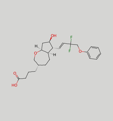 O=C(O)CCC[C@H]1CC[C@@H]2[C@@H](C=CC(F)(F)COc3ccccc3)[C@H](O)C[C@@H]2OC1